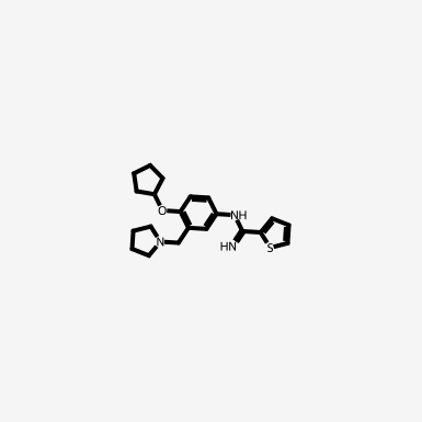 N=C(Nc1ccc(OC2CCCC2)c(CN2CCCC2)c1)c1cccs1